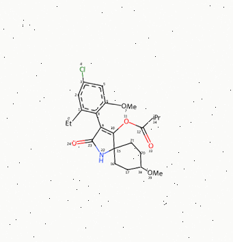 CCc1cc(Cl)cc(OC)c1C1=C(OC(=O)C(C)C)C2(CCC(OC)CC2)NC1=O